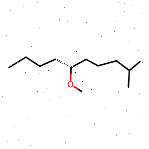 CCCC[C@H](CCCC(C)C)OC